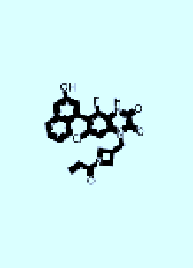 C=CC(=O)N1CC(Cn2c(=O)c(=O)[nH]c3c(F)c(-c4cc(O)cc5ccccc45)c(Cl)cc32)C1